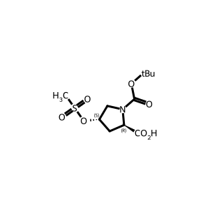 CC(C)(C)OC(=O)N1C[C@@H](OS(C)(=O)=O)C[C@@H]1C(=O)O